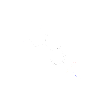 NS(=O)(=O)c1ccc(C(CCI)CCI)cc1